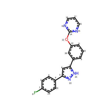 Fc1ccc(-c2cc(-c3cccc(Oc4ncccn4)c3)[nH]n2)cc1